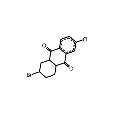 O=C1c2cc(Cl)ccc2C(=O)C2CC(Br)CCC12